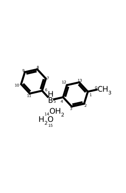 Cc1ccc(Bc2ccccc2)cc1.O.O